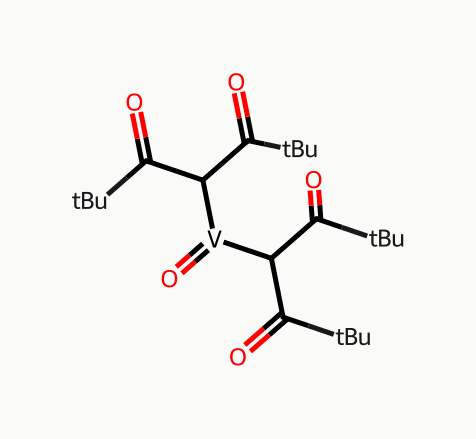 CC(C)(C)C(=O)[CH](C(=O)C(C)(C)C)[V](=[O])[CH](C(=O)C(C)(C)C)C(=O)C(C)(C)C